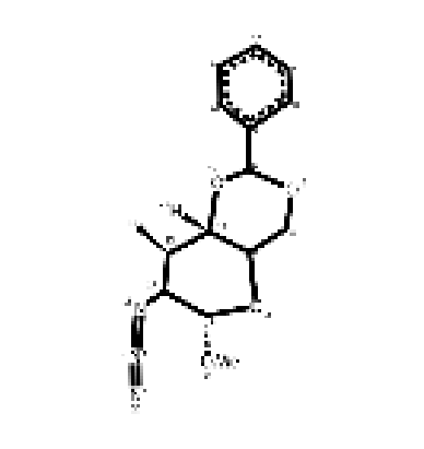 CO[C@H]1OC2COC(c3ccccc3)O[C@H]2[C@H](C)C1N=[N+]=[N-]